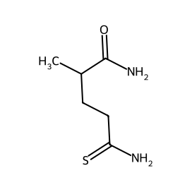 CC(CCC(N)=S)C(N)=O